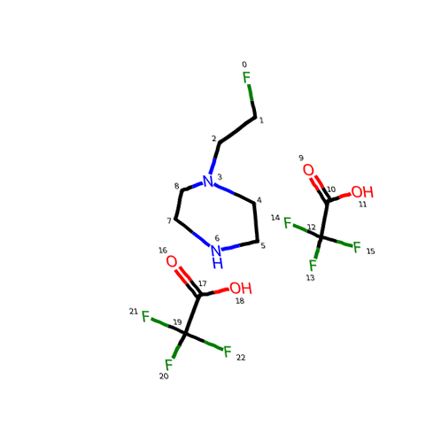 FCCN1CCNCC1.O=C(O)C(F)(F)F.O=C(O)C(F)(F)F